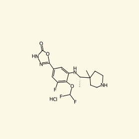 C[C@H](Nc1cc(-c2n[nH]c(=O)o2)cc(F)c1OC(F)F)C1(C)CCNCC1.Cl